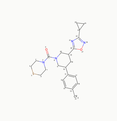 O=C(N1CCSCC1)N1CC(c2ccc(C(F)(F)F)cc2)CC(c2nc(C3CC3)no2)C1